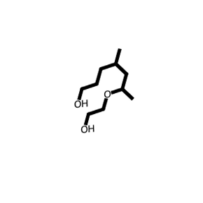 CC(CCCO)CC(C)OCCO